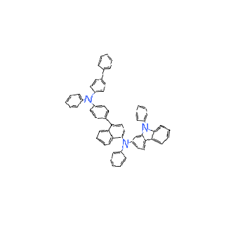 c1ccc(-c2ccc(N(c3ccccc3)c3ccc(-c4ccc(N(c5ccccc5)c5ccc6c7ccccc7n(-c7ccccc7)c6c5)c5ccccc45)cc3)cc2)cc1